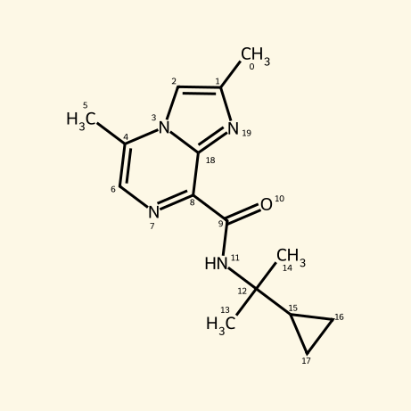 Cc1cn2c(C)cnc(C(=O)NC(C)(C)C3CC3)c2n1